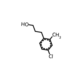 Cc1cc(Cl)ccc1CCCO